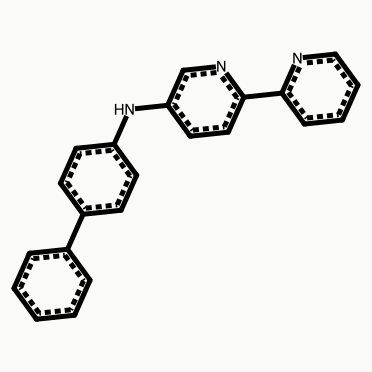 c1ccc(-c2ccc(Nc3ccc(-c4ccccn4)nc3)cc2)cc1